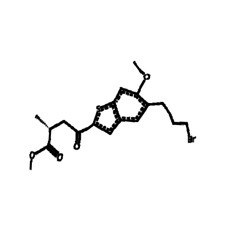 COC(=O)[C@H](C)CC(=O)c1cc2cc(CCCBr)c(OC)cc2s1